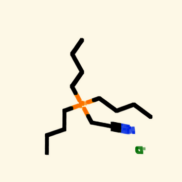 CCCC[P+](CC#N)(CCCC)CCCC.[Cl-]